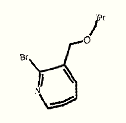 CC(C)OCc1cccnc1Br